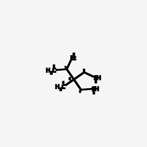 CCC(C)C(C)(CS)CS